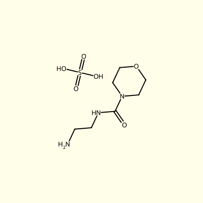 NCCNC(=O)N1CCOCC1.O=S(=O)(O)O